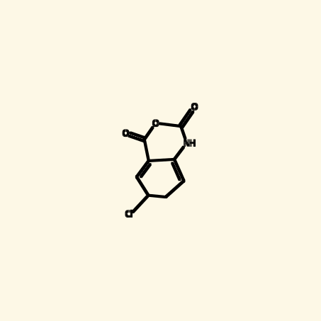 O=c1[nH]c2c(c(=O)o1)=CC(Cl)CC=2